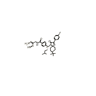 CC(C)CC[C@H](c1ccc(C(=O)NC/C(N=N)=N/N)cc1)N1C(=O)C(c2ccc(F)cc2)=NC12CCC(C(C)(C)C)CC2